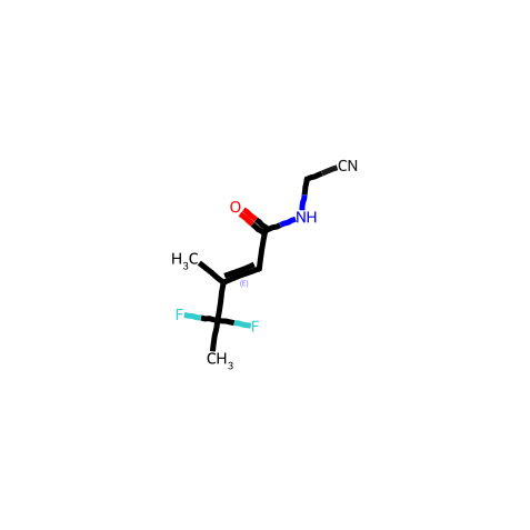 C/C(=C\C(=O)NCC#N)C(C)(F)F